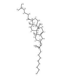 CCCCCCCCC(=O)O[C@H]1CC[C@@]2(C)C(=CC[C@@H]3C2CC[C@@]2(C)C3CC[C@@H]2CCCCC(C)C)C1